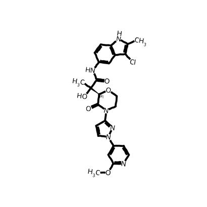 COc1cc(-n2ccc(N3CCO[C@H](C(C)(O)C(=O)Nc4ccc5[nH]c(C)c(Cl)c5c4)C3=O)n2)ccn1